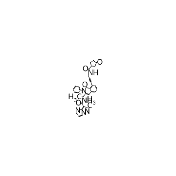 Cc1nn2cccnc2c1C(=O)N[C@@H](C)c1cc2cccc(C#CCNC(=O)C3CCC(=O)C3)c2c(=O)n1-c1ccccc1